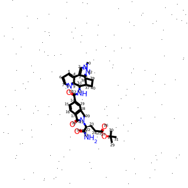 Cn1cc(-c2cccnc2C(NC(=O)c2ccc3c(c2)CN([C@@H](CCC(=O)OC(C)(C)C)C(N)=O)C3=O)C2CCC2)cn1